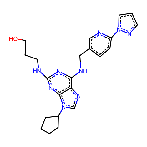 OCCCNc1nc(NCc2ccc(-n3cccn3)nc2)c2ncn(C3CCCC3)c2n1